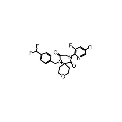 O=C1CN(c2ncc(Cl)cc2F)C(=O)C2(CCOCC2)N1Cc1ccc(C(F)F)cc1